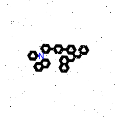 C(=C(\Cc1cccc2ccccc12)c1cccc(-c2ccc(-c3cccc(N(c4ccccc4)c4cccc5ccccc45)c3)cc2)c1)/c1ccccc1